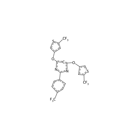 FC(F)(F)c1ccc(-c2nc(Oc3csc(C(F)(F)F)c3)cc(Oc3csc(C(F)(F)F)c3)n2)cc1